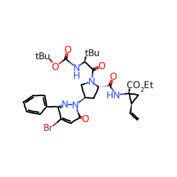 C=C[C@@H]1C[C@]1(NC(=O)[C@@H]1C[C@@H](n2nc(-c3ccccc3)c(Br)cc2=O)CN1C(=O)[C@@H](NC(=O)OC(C)(C)C)C(C)(C)C)C(=O)OCC